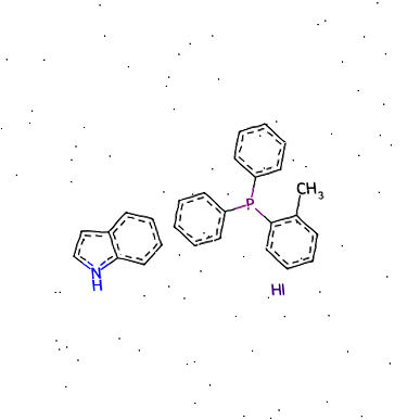 Cc1ccccc1P(c1ccccc1)c1ccccc1.I.c1ccc2[nH]ccc2c1